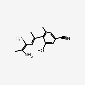 C/C(=C\C(N)=C(\C)N)c1c(C)cc(C#N)cc1O